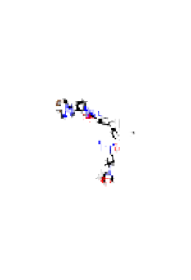 Cc1ccc(C(=O)Nc2ccc(N3CCOCC3)cc2)cc1-c1ccc(C(=O)Nc2cccc(CN3CCSCC3)c2)cc1